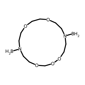 BN1CCOCCOCCN(B)CCOOCOCC1